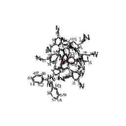 N#Cc1cc(C#N)c(-c2ccc3c(c2)c2cc(-c4c(C#N)cc(C#N)cc4C#N)ccc2n3-c2ccc(C#N)cc2-c2cc(-c3nc(-c4ccccc4)nc(-c4ccccc4)n3)ccc2-n2c3ccc(-c4c(C#N)cc(C#N)cc4C#N)cc3c3cc(-c4c(C#N)cc(C#N)cc4C#N)ccc32)c(C#N)c1